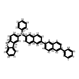 c1ccc(-c2ccc3cc(-c4ccc5cc(N(c6ccccc6)c6ccc7sc8ccccc8c7c6)ccc5c4)ccc3c2)cc1